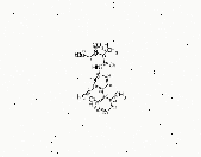 C#Cc1nc(NC(=O)C(C)N(CC(C)(C)C)C(=O)O)ccc1-c1c(C)cncc1C